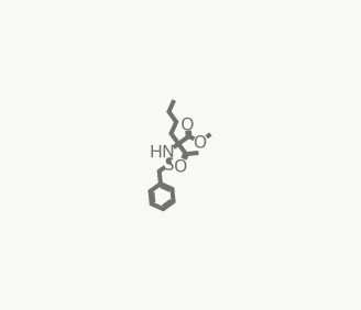 CCCCC(NSCc1ccccc1)(C(C)=O)C(=O)OC